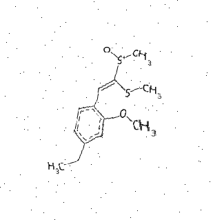 CCc1ccc(/C=C(\SC)[S+](C)[O-])c(OC)c1